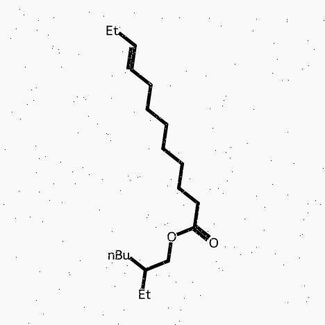 CCC=CCCCCCCCC(=O)OCC(CC)CCCC